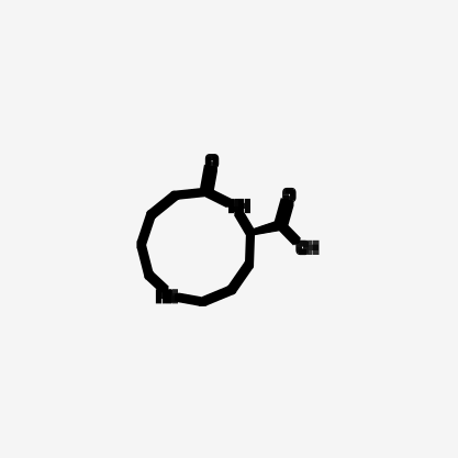 O=C1CCCCNCCC[C@H](C(=O)O)N1